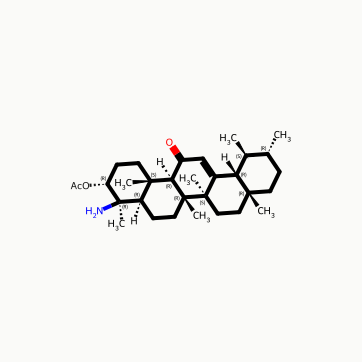 CC(=O)O[C@@H]1CC[C@]2(C)[C@H]3C(=O)C=C4[C@@H]5[C@@H](C)[C@H](C)CC[C@]5(C)CC[C@@]4(C)[C@]3(C)CC[C@H]2[C@@]1(C)N